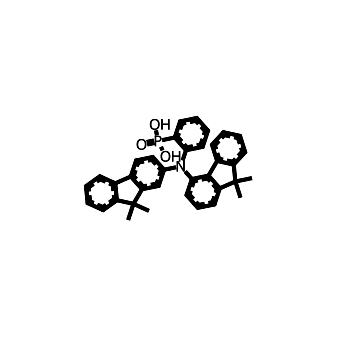 CC1(C)c2ccccc2-c2ccc(N(c3ccccc3P(=O)(O)O)c3cccc4c3-c3ccccc3C4(C)C)cc21